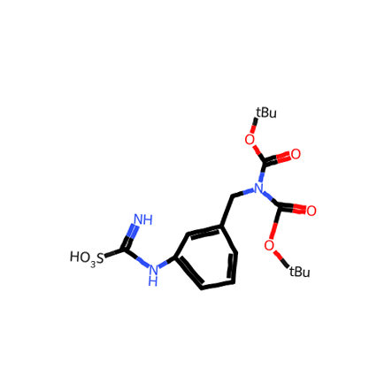 CC(C)(C)OC(=O)N(Cc1cccc(NC(=N)S(=O)(=O)O)c1)C(=O)OC(C)(C)C